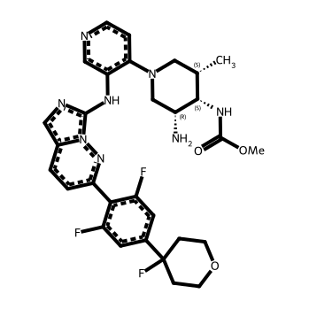 COC(=O)N[C@@H]1[C@H](N)CN(c2ccncc2Nc2ncc3ccc(-c4c(F)cc(C5(F)CCOCC5)cc4F)nn23)C[C@@H]1C